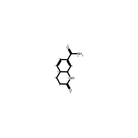 NC(=O)C1=CC2NC(=O)CCC2C=C1